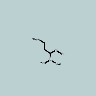 CCCCCCCCCC(SC#N)[SiH](OC)OC